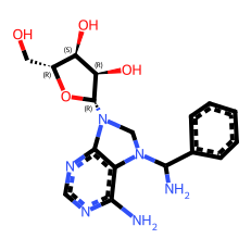 Nc1ncnc2c1N(C(N)c1ccccc1)CN2[C@@H]1O[C@H](CO)[C@@H](O)[C@H]1O